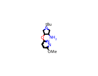 COc1ccc(OC2CN(C(C)(C)C)CC2N)nn1